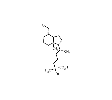 C[C@H](CCC[C@](C)(O)C(=O)O)[C@H]1CCC2C(=CBr)CCC[C@]21C